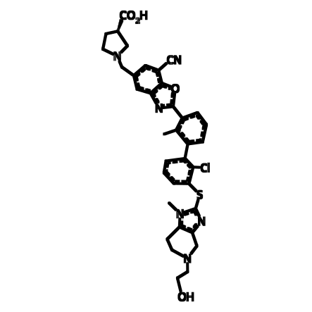 Cc1c(-c2nc3cc(CN4CC[C@@H](C(=O)O)C4)cc(C#N)c3o2)cccc1-c1cccc(Sc2nc3c(n2C)CCN(CCO)C3)c1Cl